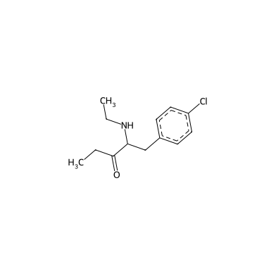 CCNC(Cc1ccc(Cl)cc1)C(=O)CC